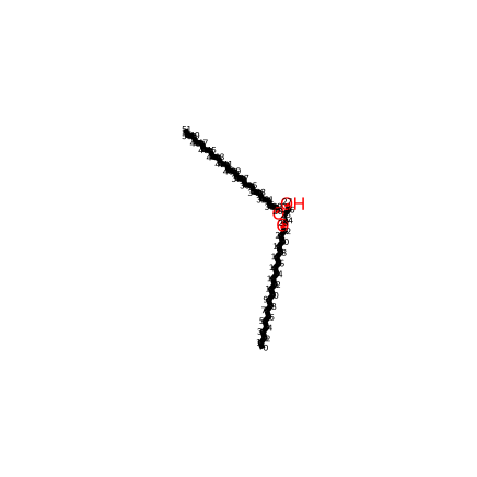 CCCCCCCCCCCCCCCCCCCCCCCOC[C@H](CO)OCCCCCCCCCCCCCCCCCCCCCCC